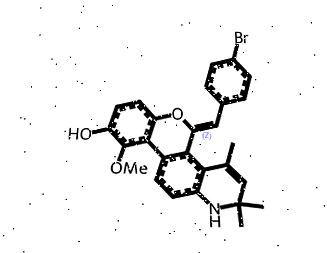 COc1c(O)ccc2c1-c1ccc3c(c1/C(=C/c1ccc(Br)cc1)O2)C(C)=CC(C)(C)N3